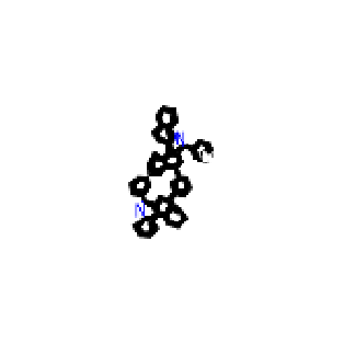 c1ccc(-c2nc3ccccc3c3c2cc(-c2cccc(-c4cc5c(-c6ccccc6)nc6c7ccccc7ccc6c5c5ccccc45)c2)c2ccccc23)cc1